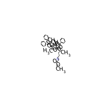 CCOC(=O)/C=C/CCC(C)O[C@@H]1O[C@@H](C)[C@H](O[Si](c2ccccc2)(c2ccccc2)C(C)(C)C)C[C@H]1OC(=O)c1ccccc1